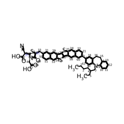 CCCCC(CC)CN1c2ccccc2CCc2cc(-c3ccc4cc5sc6c7cc8cc(/C=c9/s/c(=C(\C#N)C(=O)O)n(CC(=O)O)c9=O)ccc8cc7sc6c5cc4c3)ccc21